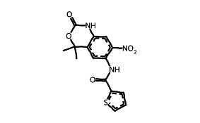 CC1(C)OC(=O)Nc2cc([N+](=O)[O-])c(NC(=O)c3cccs3)cc21